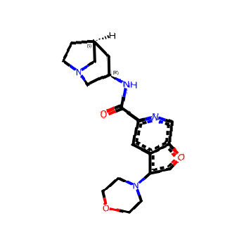 O=C(N[C@@H]1C[C@@H]2CCN(C2)C1)c1cc2c(N3CCOCC3)coc2cn1